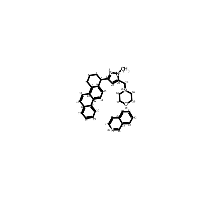 Cn1nc(C2CCCc3c2ccc2c3ccc3ccccc32)cc1CN1CCOCC1.c1ccc2cnccc2c1